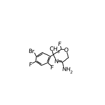 CC1(c2cc(Br)c(F)cc2F)N=C(N)COC1F